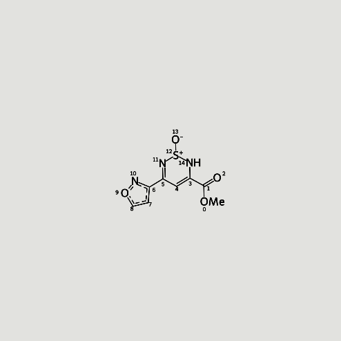 COC(=O)C1=CC(c2ccon2)=N[S+]([O-])N1